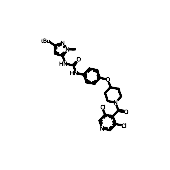 Cn1nc(C(C)(C)C)cc1NC(=O)Nc1ccc(OC2CCN(C(=O)c3c(Cl)cncc3Cl)CC2)cc1